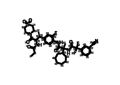 CCC(=O)N[C@@H](C(=O)N1CCS(=O)(=O)CC1)[C@@H](C)c1ccc(NC(=O)[C@](C)(NC(=O)C(F)(F)c2cccc(C#N)c2)C2CCCCCC2)c(F)c1